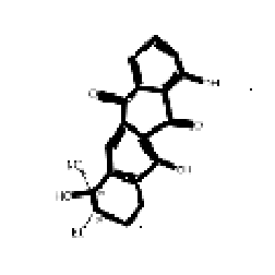 CC[C@H]1CCc2c(cc3c(c2O)C(=O)c2c(O)cccc2C3=O)[C@@]1(O)C#N